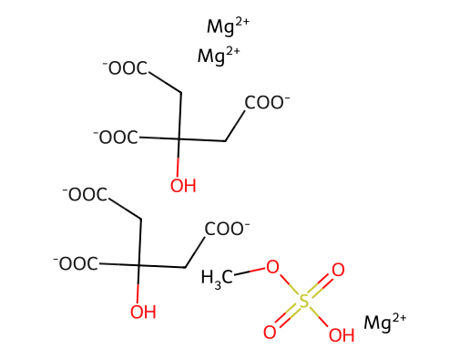 COS(=O)(=O)O.O=C([O-])CC(O)(CC(=O)[O-])C(=O)[O-].O=C([O-])CC(O)(CC(=O)[O-])C(=O)[O-].[Mg+2].[Mg+2].[Mg+2]